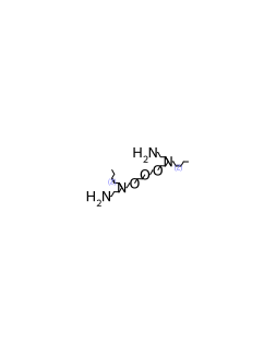 CC/C=C\CN(CCCN)CCOCCOCCOCCN(C/C=C\CC)CCCN